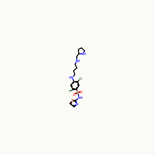 O=S(=O)(Nc1nccs1)c1cc(Cl)c(NCCCCNCC2CCCN2)cc1F